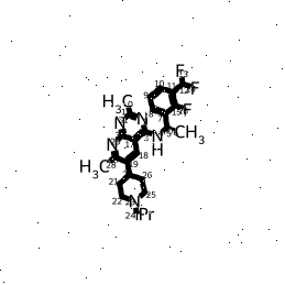 Cc1nc(N[C@H](C)c2cccc(C(F)F)c2F)c2cc(C3CCN(C(C)C)CC3)c(C)nc2n1